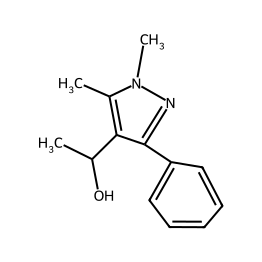 Cc1c(C(C)O)c(-c2ccccc2)nn1C